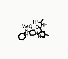 CO[C@@H]1CN(c2ncc(C)cc2C(=O)NC(C)=N)CC[C@@H]1NC1CCCCC1